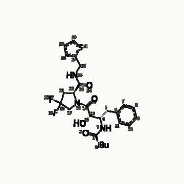 CC[C@H](C)C(=O)N[C@@H](Cc1ccccc1)[C@H](O)C(=O)N1CC(F)(F)C[C@H]1C(=O)NCc1cccs1